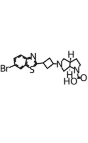 O=C(O)N1CC[C@H]2CN(C3CC(c4nc5ccc(Br)cc5s4)C3)C[C@@H]21